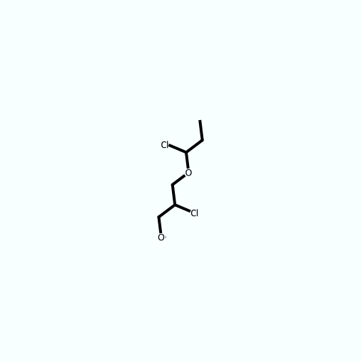 CCC(Cl)OCC(Cl)C[O]